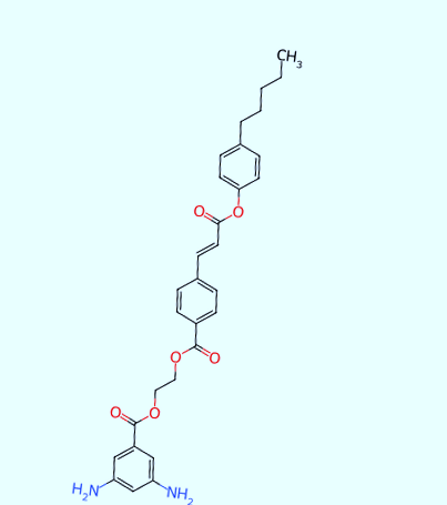 CCCCCc1ccc(OC(=O)C=Cc2ccc(C(=O)OCCOC(=O)c3cc(N)cc(N)c3)cc2)cc1